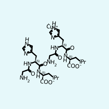 CC(C)C[C@H](NC(=O)[C@H](Cc1c[nH]cn1)NC(=O)CN)C(=O)[O-].CC(C)C[C@H](NC(=O)[C@H](Cc1c[nH]cn1)NC(=O)CN)C(=O)[O-].[Cu+2]